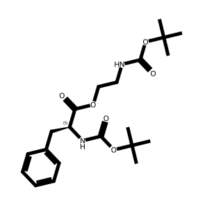 CC(C)(C)OC(=O)NCCOC(=O)[C@H](Cc1ccccc1)NC(=O)OC(C)(C)C